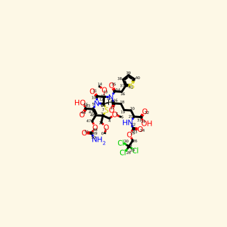 COCC1(COC)S[C@@H]2N(C(=O)[C@@]2(OC)N(C(=O)CCCC(NC(=O)OCC(Cl)(Cl)Cl)C(=O)O)C(=O)Cc2cccs2)C(C(=O)O)=C1COC(N)=O